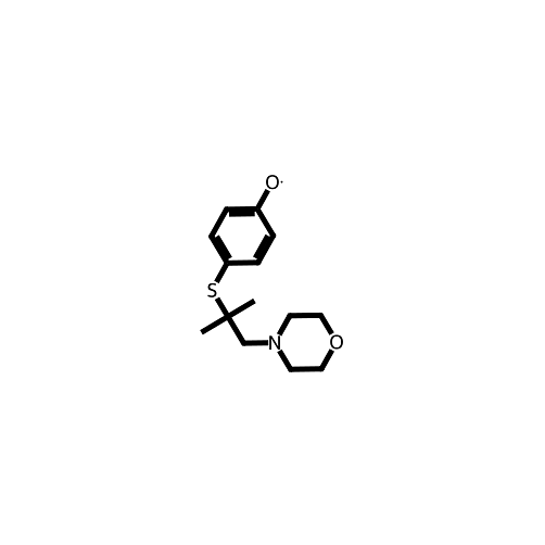 CC(C)(CN1CCOCC1)Sc1ccc([O])cc1